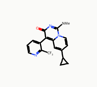 CNc1nc(=O)c(-c2cccnc2C(F)(F)F)c2cc(C3CC3)ccn12